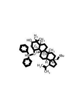 C=C(C)[C@@H]1CC[C@]2(CC(C)(C)C)CC[C@]3(C)[C@H](CC[C@@H]4[C@@]5(C)C(O[SiH](c6ccccc6)c6ccccc6)C[C@H](O)C(C)(C)[C@@H]5CC[C@]43C)[C@@H]12